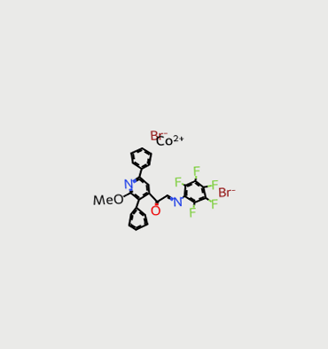 COc1nc(-c2ccccc2)cc(C(=O)C=Nc2c(F)c(F)c(F)c(F)c2F)c1-c1ccccc1.[Br-].[Br-].[Co+2]